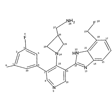 Cc1cc(F)cc(-c2cncc(-c3nc4cccc(CF)c4[nH]3)c2N2CC(CN)C2)c1